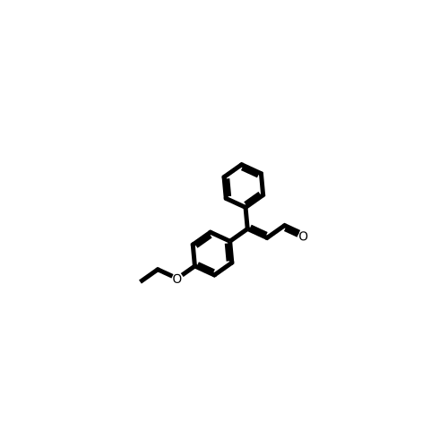 CCOc1ccc(/C(=C/C=O)c2ccccc2)cc1